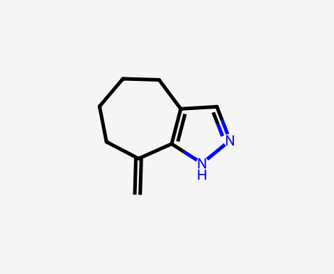 C=C1CCCCc2cn[nH]c21